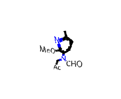 COc1nc(C)ccc1N(C=O)CC(C)=O